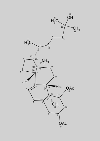 CC(=O)OC1CC2=CC=C3[C@@H]4CC[C@H](C(C)SCCC(C)(C)O)[C@@]4(C)CC[C@@H]3[C@@]2(C)C(OC(C)=O)C1